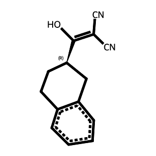 N#CC(C#N)=C(O)[C@@H]1CCc2ccccc2C1